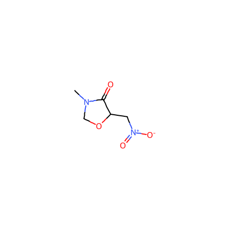 CN1COC(C[N+](=O)[O-])C1=O